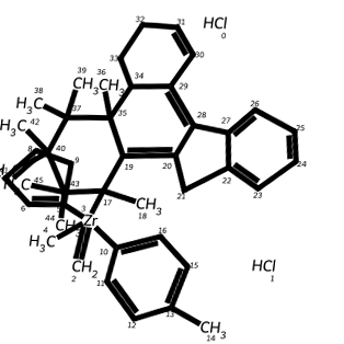 Cl.Cl.[CH2]=[Zr]([CH3])([C]1=CC=CC1)([c]1ccc(C)cc1)[C]1(C)C2=C3Cc4ccccc4C3=C3C=CCCC3C2(C)C(C)(C)C(C)(C)C1(C)C